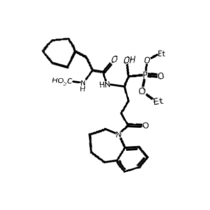 CCOP(=O)(OCC)C(O)C(CCC(=O)N1CCCCc2ccccc21)NC(=O)C(CC1CCCCC1)NC(=O)O